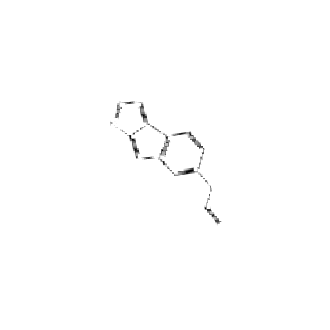 C=CCc1ccc2c(c1)C=C1N=CC=C12